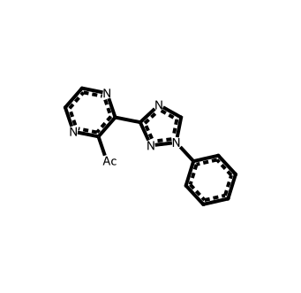 CC(=O)c1nccnc1-c1ncn(-c2ccccc2)n1